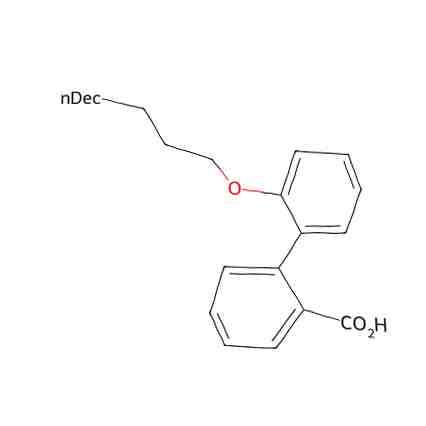 CCCCCCCCCCCCCOc1ccccc1-c1ccccc1C(=O)O